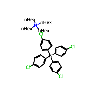 CCCCCC[N+](CCCCCC)(CCCCCC)CCCCCC.Clc1ccc([B-](c2ccc(Cl)cc2)(c2ccc(Cl)cc2)c2ccc(Cl)cc2)cc1